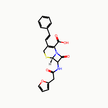 O=C(Cc1ccco1)NC1C(=O)N2C(C(=O)O)=C(C=Cc3ccccc3)CS[C@@H]12